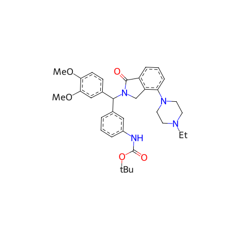 CCN1CCN(c2cccc3c2CN(C(c2cccc(NC(=O)OC(C)(C)C)c2)c2ccc(OC)c(OC)c2)C3=O)CC1